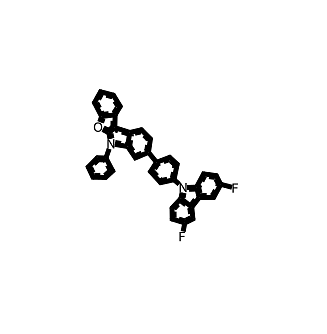 Fc1ccc2c(c1)c1cc(F)ccc1n2-c1ccc(-c2ccc3c4c5ccccc5oc4n(-c4ccccc4)c3c2)cc1